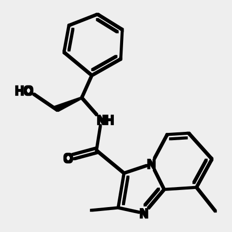 Cc1nc2c(C)cccn2c1C(=O)N[C@@H](CO)c1ccccc1